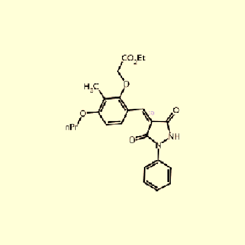 CCCOc1ccc(/C=C2/C(=O)NN(c3ccccc3)C2=O)c(OCC(=O)OCC)c1C